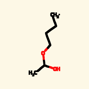 [CH2]CCCOC(C)O